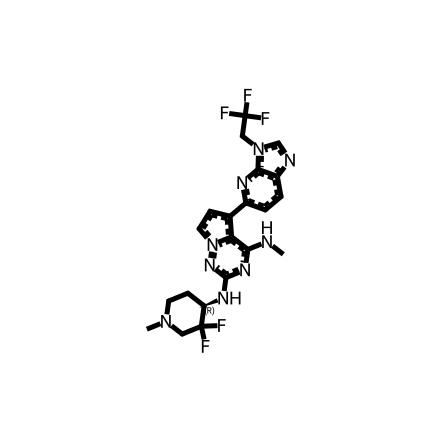 CNc1nc(N[C@@H]2CCN(C)CC2(F)F)nn2ccc(-c3ccc4ncn(CC(F)(F)F)c4n3)c12